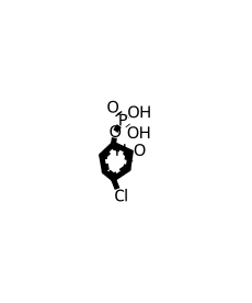 O.O=P(O)(O)Oc1ccc(Cl)cc1